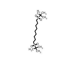 CC(C)(C)S(=O)(=O)CCCCCCCCCS(=O)(=O)C(C)(C)C